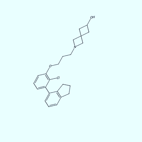 OC1CC2(C1)CN(CCCOc1cccc(-c3cccc4c3CCC4)c1Cl)C2